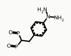 NN(N)c1ccc(CC(P=O)P=O)cc1